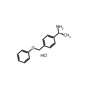 C[C@H](N)c1ccc(COc2ccccc2)cc1.Cl